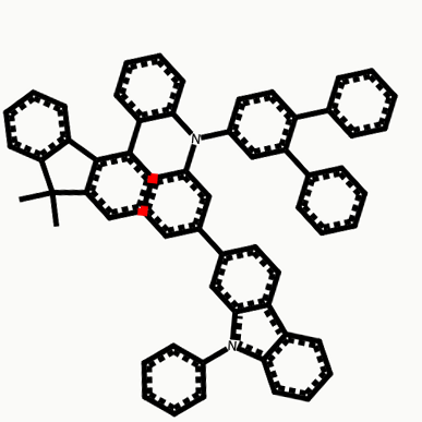 CC1(C)c2ccccc2-c2c(-c3ccccc3N(c3cccc(-c4ccc5c6ccccc6n(-c6ccccc6)c5c4)c3)c3ccc(-c4ccccc4)c(-c4ccccc4)c3)cccc21